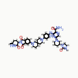 C=C1CCC(N2C(=O)c3ccc(N4CCCC5(CCN(c6ccc(Nc7nc(N8CCC[C@@H](N9CCN(C)C9=O)C8)cnc7C(N)=O)cc6)CC5)C4)cc3C2=O)C(=O)N1